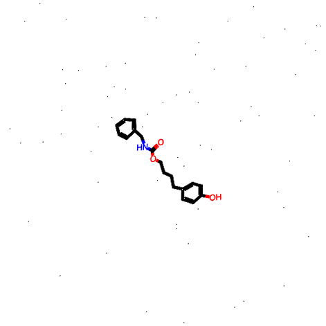 O=C(NCc1ccccc1)OCCCCc1ccc(O)cc1